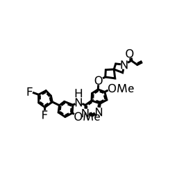 C=CC(=O)N1CC2(CC(Oc3cc4c(Nc5cc(-c6ccc(F)cc6F)ccc5OC)ncnc4cc3OC)C2)C1